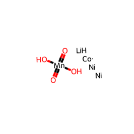 [Co].[LiH].[Ni].[Ni].[O]=[Mn](=[O])([OH])[OH]